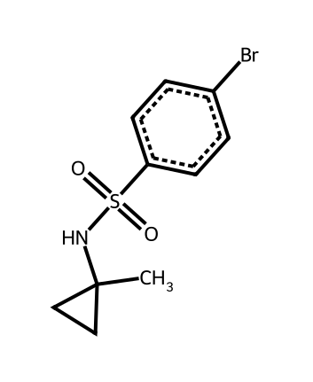 CC1(NS(=O)(=O)c2ccc(Br)cc2)CC1